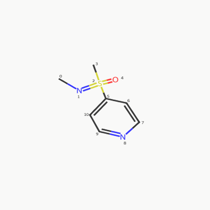 CN=S(C)(=O)c1ccncc1